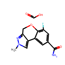 Cn1cc2c(n1)COc1c(F)cc(C(N)=O)cc1-2.O=CO